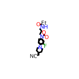 CCC(=O)NCC1CN(c2ccc(N3CCC(=CC#N)CC3)c(F)c2)C(=O)O1